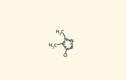 [CH2]c1c(Cl)cnn1C